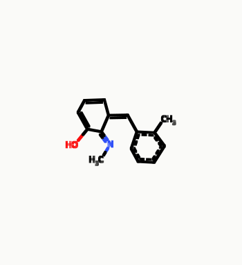 C/N=C1\C(O)=CC=C\C1=C\c1ccccc1C